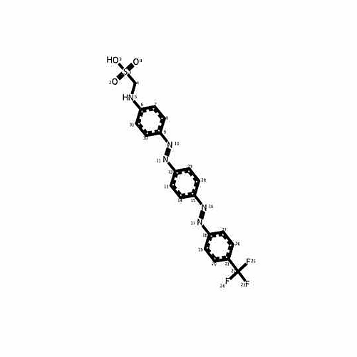 O=S(=O)(O)CNc1ccc(N=Nc2ccc(N=Nc3ccc(C(F)(F)F)cc3)cc2)cc1